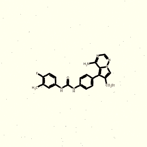 CCOC(=O)c1cn2ncnc(N)c2c1-c1ccc(NC(=O)Nc2ccc(F)c(C)c2)cc1